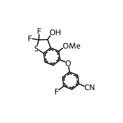 COc1c(Oc2cc(F)cc(C#N)c2)ccc2c1C(O)C(F)(F)S2